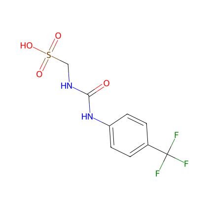 O=C(NCS(=O)(=O)O)Nc1ccc(C(F)(F)F)cc1